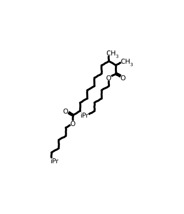 CC(C)CCCCCOC(=O)CCCCCCCCC(C)C(C)C(=O)OCCCCCC(C)C